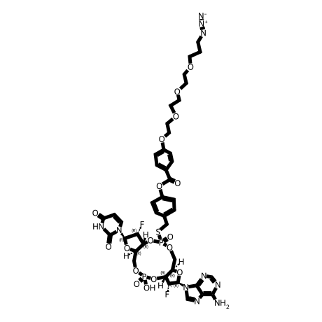 [N-]=[N+]=NCCCOCCOCCOCCOc1ccc(C(=O)Oc2ccc(CSP3(=O)OC[C@H]4O[C@@H](n5cnc6c(N)ncnc65)[C@H](F)[C@@H]4OP(=O)(O)OC[C@H]4O[C@@H](n5ccc(=O)[nH]c5=O)[C@H](F)[C@@H]4O3)cc2)cc1